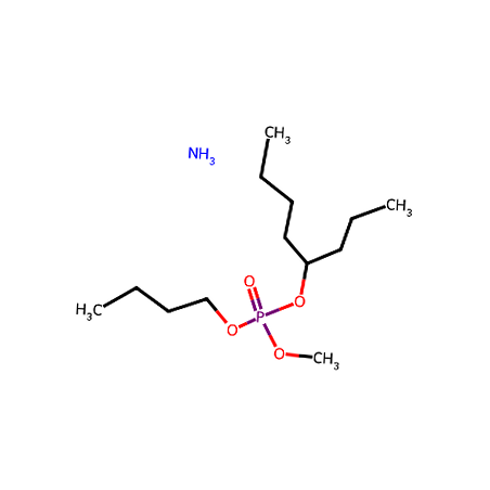 CCCCOP(=O)(OC)OC(CCC)CCCC.N